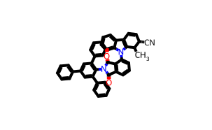 CC1c2c(c3ccccc3n2-c2cccc3c2C(=O)N(c2c(-c4ccccc4)cc(-c4ccccc4)cc2-c2ccccc2)C3=O)C=CC1C#N